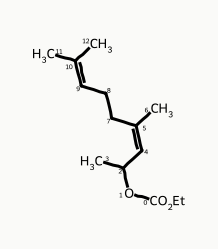 CCOC(=O)OC(C)C=C(C)CCC=C(C)C